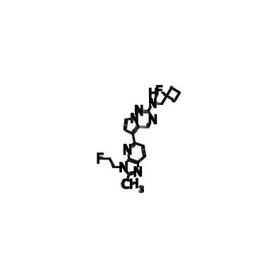 Cc1nc2ccc(-c3ccn4nc(NCC5(F)CCC5)ncc34)nc2n1CCF